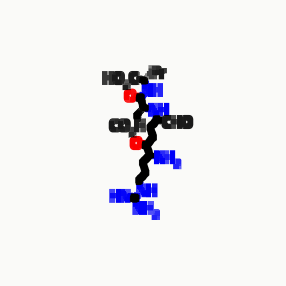 CC(C)[C@H](NC(=O)[C@H](CC(=O)O)NC(C=O)CCC(=O)[C@@H](N)CCCNC(=N)N)C(=O)O